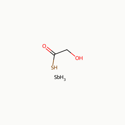 O=C(S)CO.[SbH3]